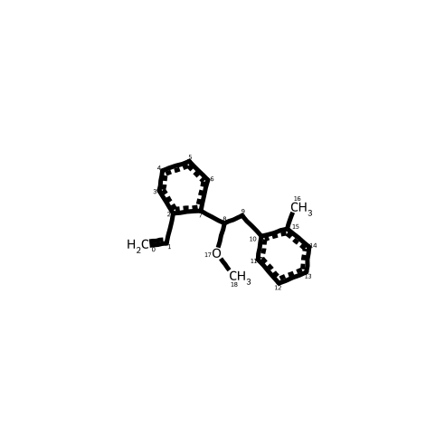 C=Cc1ccccc1C(Cc1ccccc1C)OC